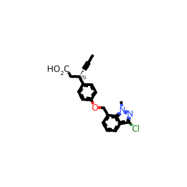 CC#C[C@@H](CC(=O)O)c1ccc(OCc2cccc3c(Cl)nn(C)c23)cc1